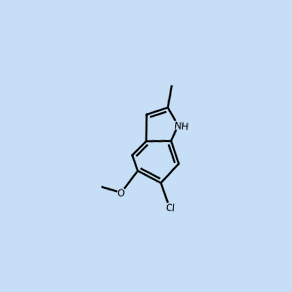 COc1cc2cc(C)[nH]c2cc1Cl